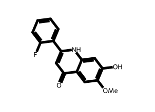 COc1cc2c(=O)cc(-c3ccccc3F)[nH]c2cc1O